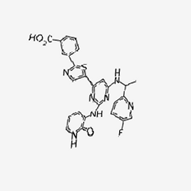 CC(Nc1cc(-c2cnc(-c3cccc(C(=O)O)c3)s2)nc(Nc2ccc[nH]c2=O)n1)c1ccc(F)cn1